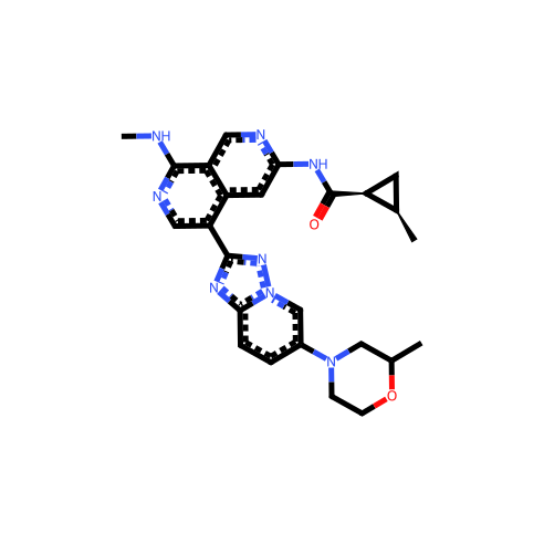 CNc1ncc(-c2nc3ccc(N4CCOC(C)C4)cn3n2)c2cc(NC(=O)[C@H]3C[C@H]3C)ncc12